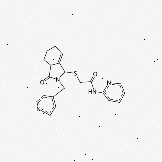 O=C(CSC1C2=CCCCC2C(=O)N1Cc1ccncc1)Nc1ccccn1